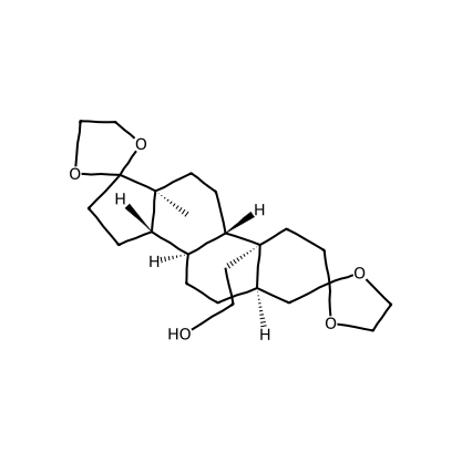 C[C@]12CC[C@H]3[C@@H](CC[C@@H]4CC5(CC[C@@]43CCO)OCCO5)[C@@H]1CCC21OCCO1